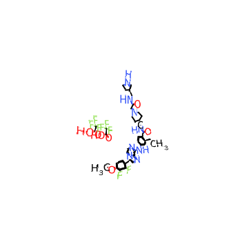 CCc1cc(Nc2nccn3c(-c4ccc(OC)c(F)c4F)cnc23)ccc1C(=O)NCC1CCN(CC(=O)NCC2CCNC2)CC1.O=C(O)C(F)(F)F.O=C(O)C(F)(F)F